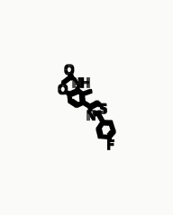 Cc1c(-c2csc(-c3ccc(F)cc3)n2)ccc2c1NC(=O)CO2